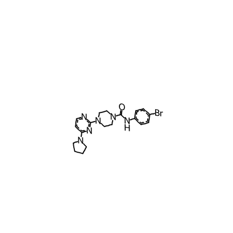 O=C(Nc1ccc(Br)cc1)N1CCN(c2nccc(N3CCCC3)n2)CC1